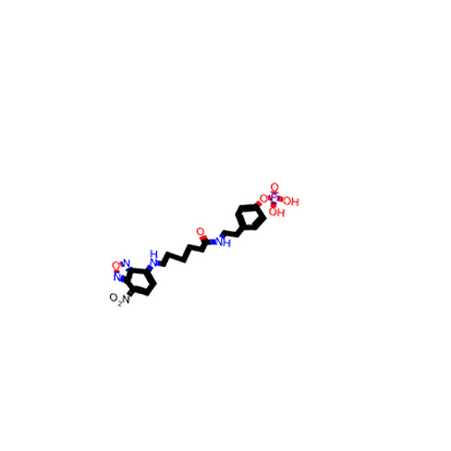 O=C(CCCCCNc1ccc([N+](=O)[O-])c2nonc12)NCCc1ccc(OP(=O)(O)O)cc1